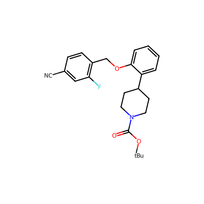 CC(C)(C)OC(=O)N1CCC(c2ccccc2OCc2ccc(C#N)cc2F)CC1